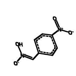 O=[N+]([O-])c1ccc(/C=[N+](/[O-])O)cc1